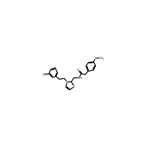 CSc1ccc(CC(=O)NCC2SC=CN2CCc2cccc(Cl)c2)cc1